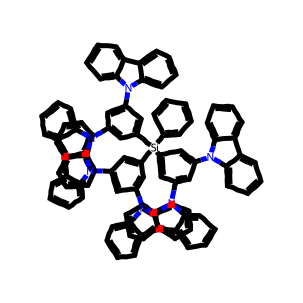 c1ccc([Si](c2cc(-n3c4ccccc4c4ccccc43)cc(-n3c4ccccc4c4ccccc43)c2)(c2cc(-n3c4ccccc4c4ccccc43)cc(-n3c4ccccc4c4ccccc43)c2)c2cc(-n3c4ccccc4c4ccccc43)cc(-n3c4ccccc4c4ccccc43)c2)cc1